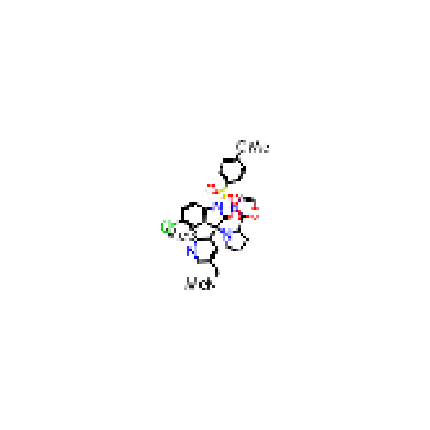 CNCc1cnc(OC)c(C2(N3CCCC3c3ncco3)C(=O)N(S(=O)(=O)c3ccc(OC)cc3)c3ccc(Cl)cc32)c1